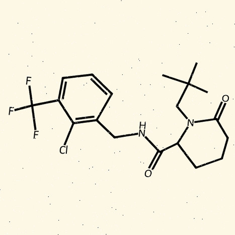 CC(C)(C)CN1C(=O)CCCC1C(=O)NCc1cccc(C(F)(F)F)c1Cl